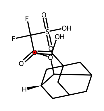 O=C(O)C12CC3CC(C1)C(OC(=O)C(F)(F)S(=O)(=O)O)[C@H](C3)C2